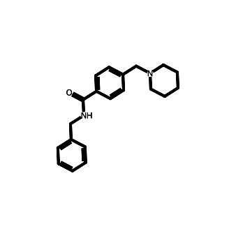 O=C(NCc1ccccc1)c1ccc(CN2CCCCC2)cc1